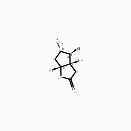 CC[C@H]1[C@@H]2CC(=O)O[C@@H]2C[C@@H]1C